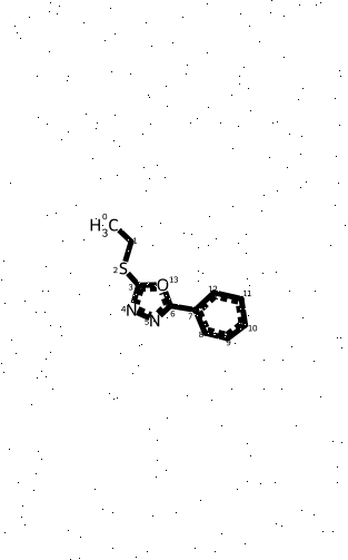 CCSc1nnc(-c2ccccc2)o1